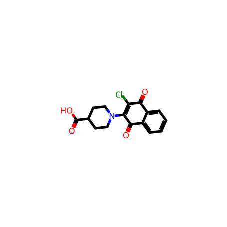 O=C1C(Cl)=C(N2CCC(C(=O)O)CC2)C(=O)c2ccccc21